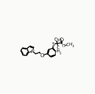 COC(=O)C(C)(C)Sc1cccc(OCCn2ccc3ccccc32)c1